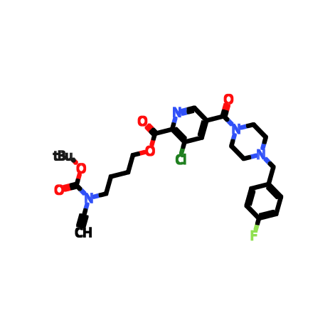 C#CN(CCCCOC(=O)c1ncc(C(=O)N2CCN(Cc3ccc(F)cc3)CC2)cc1Cl)C(=O)OC(C)(C)C